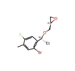 CC[C@@H](OC[C@H]1CO1)c1cc(F)c(C)cc1Br